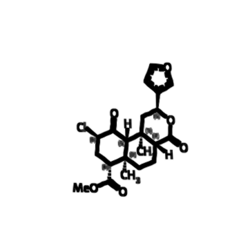 COC(=O)[C@@H]1C[C@@H](Cl)C(=O)[C@H]2[C@@]1(C)CC[C@H]1C(=O)O[C@H](c3ccoc3)C[C@]21C